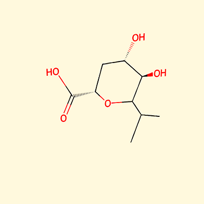 CC(C)C1O[C@H](C(=O)O)C[C@H](O)[C@H]1O